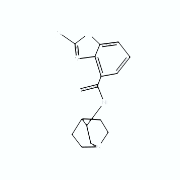 Nc1nc2c(C(=O)NC3CN4CCC3CC4)cccc2o1